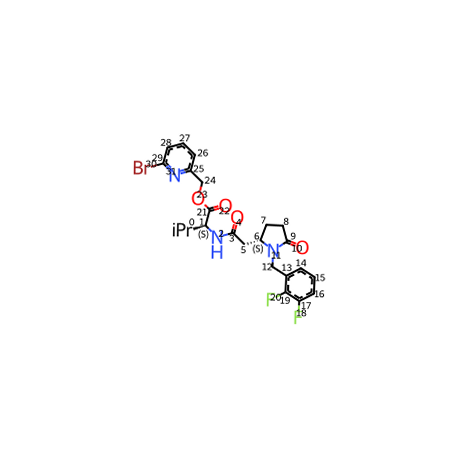 CC(C)[C@H](NC(=O)C[C@@H]1CCC(=O)N1Cc1cccc(F)c1F)C(=O)OCc1cccc(Br)n1